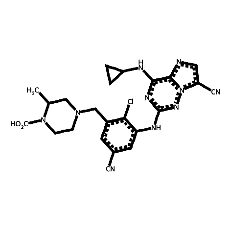 CC1CN(Cc2cc(C#N)cc(Nc3nc(NC4CC4)c4ncc(C#N)n4n3)c2Cl)CCN1C(=O)O